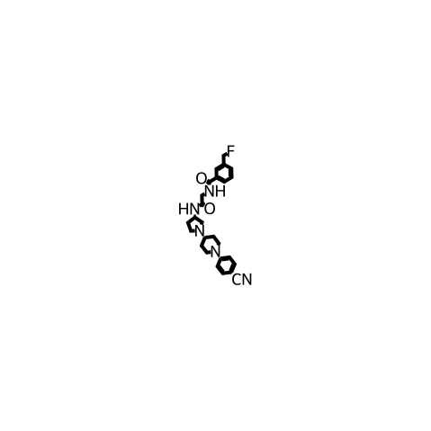 N#Cc1ccc(N2CCC(N3CC[C@@H](NC(=O)CNC(=O)c4cccc(CF)c4)C3)CC2)cc1